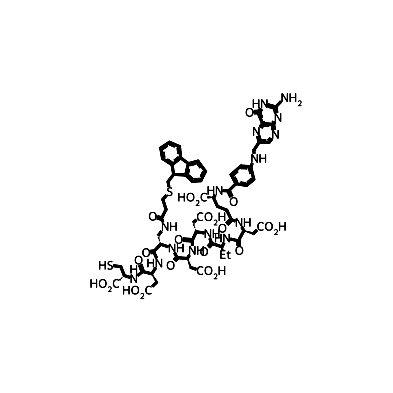 CC[C@H](NC(=O)[C@H](CC(=O)O)NC(=O)CC[C@H](NC(=O)c1ccc(NCc2cnc3nc(N)[nH]c(=O)c3n2)cc1)C(=O)O)C(=O)N[C@@H](CC(=O)O)C(=O)N[C@@H](CC(=O)O)C(=O)N[C@@H](CNC(=O)CCSCC1c2ccccc2-c2ccccc21)C(=O)N[C@@H](CC(=O)O)C(=O)N[C@@H](CS)C(=O)O